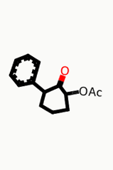 CC(=O)OC1CCCC(c2ccccc2)C1=O